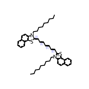 CCCCCCCCCN1/C(=C/C=C/C=C/C=C/c2sc3c4ccccc4ccc3[n+]2CCCCCCCCC)Sc2c1ccc1ccccc21